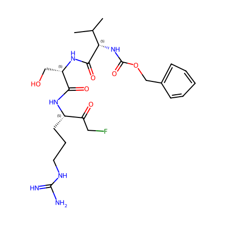 CC(C)[C@H](NC(=O)OCc1ccccc1)C(=O)N[C@@H](CO)C(=O)N[C@@H](CCCNC(=N)N)C(=O)CF